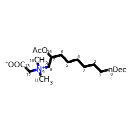 CCCCCCCCCCCCCCCCC(C[N+](C)(C)CC(=O)[O-])OC(C)=O